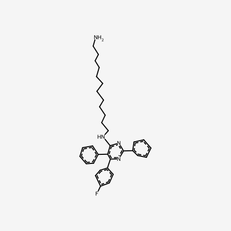 NCCCCCCCCCCCCNc1nc(-c2ccccc2)nc(-c2ccc(F)cc2)c1-c1ccccc1